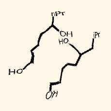 CC(C)CC(O)CCC=CO.CCCC(O)CCC=CO